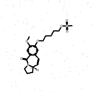 COc1cc2c(cc1OCCCCCOS(C)(=O)=O)C=C[C@@H]1CCCN1C2=O